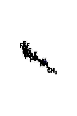 CCCCC/C=N\C(=N)C#Cc1cc(F)c(-c2cc(F)c(C(F)(F)Oc3cc(F)c(F)c(F)c3)c(F)c2)c(F)c1